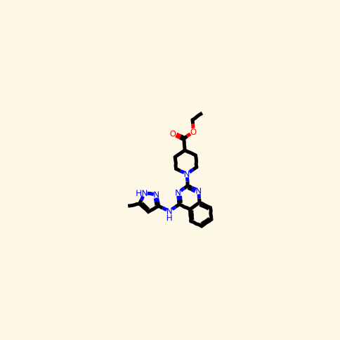 CCOC(=O)C1CCN(c2nc(Nc3cc(C)[nH]n3)c3ccccc3n2)CC1